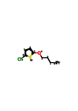 CC(C)CCCOc1ccc(Cl)s1